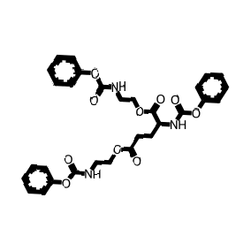 O=C(CCC(NC(=O)Oc1ccccc1)C(=O)OCCNC(=O)Oc1ccccc1)OCCNC(=O)Oc1ccccc1